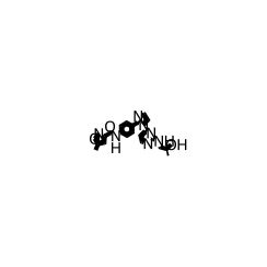 Cc1cc(C(=O)Nc2ccc(-c3nccn3-c3ccnc(NC[C@H](C)O)n3)cc2)no1